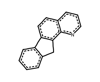 c1ccc2c(c1)Cc1c-2ccc2cccnc12